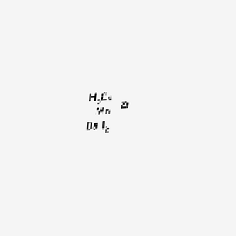 [BaH2].[CaH2].[Mn].[Zr]